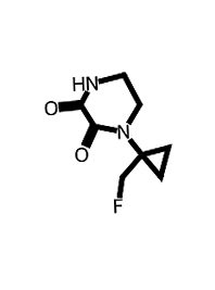 O=C1NCCN(C2(CF)CC2)C1=O